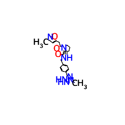 Cc1cc(CC(=O)N2CCC[C@H]2C(=O)NCc2ccc(C3=NN(C)NN3)cc2)on1